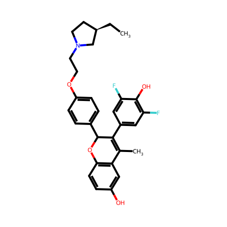 CC[C@@H]1CCN(CCOc2ccc(C3Oc4ccc(O)cc4C(C)=C3c3cc(F)c(O)c(F)c3)cc2)C1